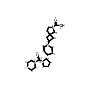 O=C(O)N1CCC2(CC(N3CCC([C@@H]4CCCN4C(=O)N4CCOCC4)CC3)C2)C1